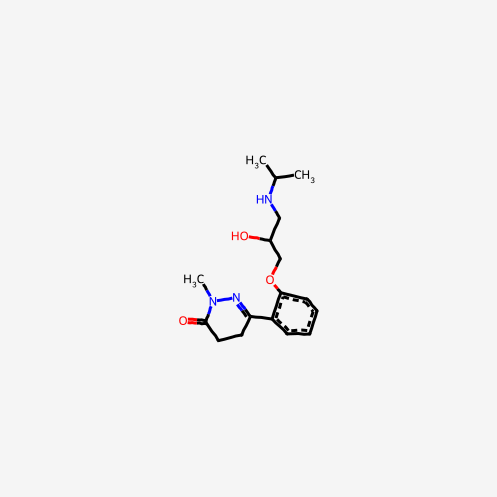 CC(C)NCC(O)COc1ccccc1C1=NN(C)C(=O)CC1